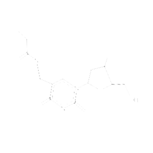 O=C(CF)NCc1cn(C2CC(O)C(CO)O2)c(=O)[nH]c1=O